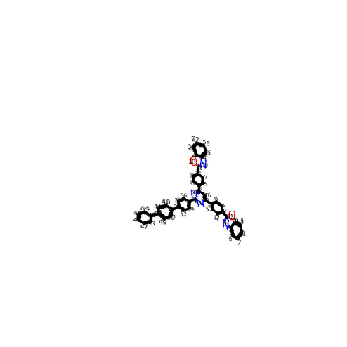 C1=CC(c2nc3ccccc3o2)CC=C1c1cc(-c2ccc(-c3nc4ccccc4o3)cc2)nc(-c2ccc(-c3ccc(-c4ccccc4)cc3)cc2)n1